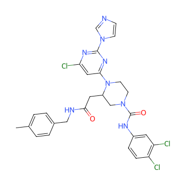 Cc1ccc(CNC(=O)CC2CN(C(=O)Nc3ccc(Cl)c(Cl)c3)CCN2c2cc(Cl)nc(-n3ccnc3)n2)cc1